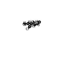 CC1(C)C[C@@H](C(O)C(F)(F)CNC(=O)c2ccccc2O)c2cc(-c3ccc(Cl)cc3)c(-c3ccc(-c4ncon4)cc3Cl)nc2O1